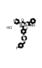 Cl.O=C(N[C@@H](Cc1c[nH]c2ccccc12)C(=O)Nc1ccncc1)c1ccc(N2CCN(Cc3ccc(F)cc3)CC2)cc1F